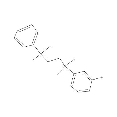 CC(C)(CCC(C)(C)c1cccc(F)c1)c1ccccc1